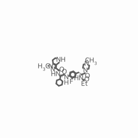 CCC(=O)N[C@H](Cc1ccc(NC(=O)[C@@H](NC(=O)c2nn(C)c3c2CNCC3)C2CCCCC2)c(F)c1)C(=O)N1CCN(C)CC1